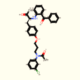 CCCC(=O)N(CCCOc1ccc(C[C@H](Nc2ccccc2C(=O)c2ccccc2)C(=O)OC)cc1)c1cccc(Cl)c1